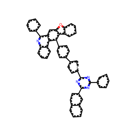 c1ccc(-c2nc(-c3ccc(-c4ccc(-c5c6c(cc7c(-c8ccccc8)nc8ccccc8c57)oc5ccccc56)cc4)cc3)nc(-c3ccc4ccccc4c3)n2)cc1